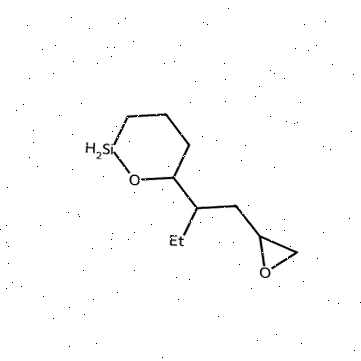 CCC(CC1CO1)C1CCC[SiH2]O1